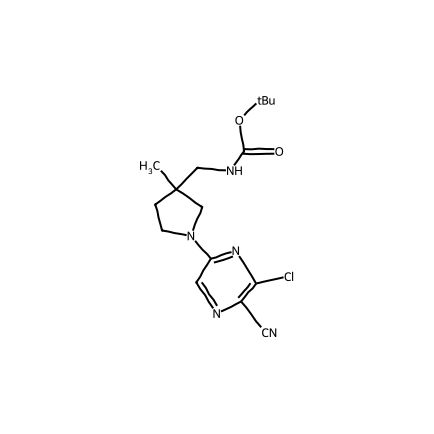 CC1(CNC(=O)OC(C)(C)C)CCN(c2cnc(C#N)c(Cl)n2)C1